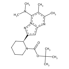 Cc1nc2cc([C@@H]3CCCCN3C(=O)OC(C)(C)C)nn2c(N(C)C)c1C